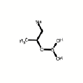 CC([CH2][Na])OB(O)O